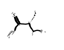 CC(C)C(=S)[C@H](C)CF